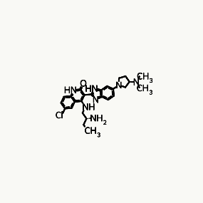 CC[C@@H](N)CNc1c(-c2nc3ccc(N4CC[C@@H](N(C)C)C4)cc3[nH]2)c(=O)[nH]c2ccc(Cl)cc12